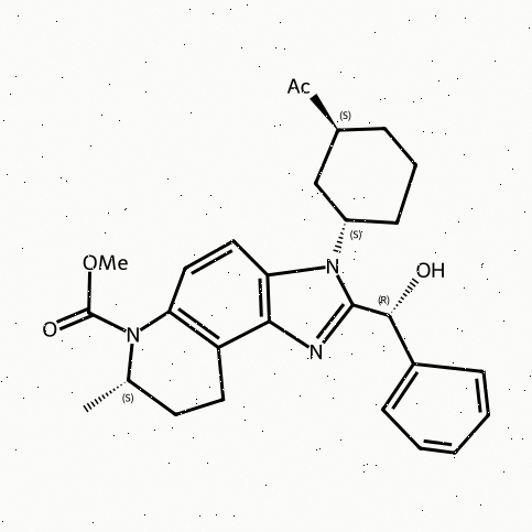 COC(=O)N1c2ccc3c(nc([C@H](O)c4ccccc4)n3[C@H]3CCC[C@H](C(C)=O)C3)c2CC[C@@H]1C